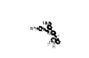 CCCN1CCN(CCCOc2cc(C(=O)N3CC[C@@H](C)Nc4ccccc43)ccc2C2=CC=C3NCCC3C2)CC1